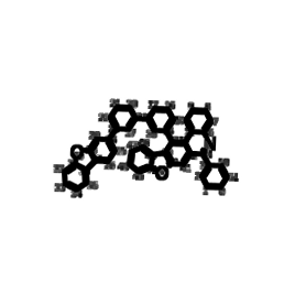 c1ccc(-c2nc3ccccc3c3c(-c4cccc(-c5cccc(-c6ccc7c(c6)oc6ccccc67)c5)c4)c4c(cc23)oc2ccccc24)cc1